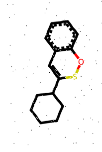 C1=C(C2CCCCC2)SOc2ccccc21